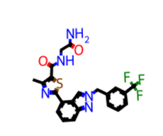 Cc1nc(-c2cccc3nn(Cc4cccc(C(F)(F)F)c4)cc23)sc1C(=O)NCC(N)=O